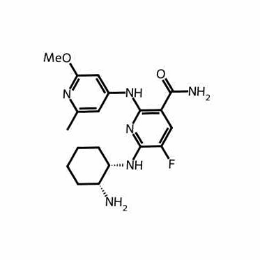 COc1cc(Nc2nc(N[C@H]3CCCC[C@H]3N)c(F)cc2C(N)=O)cc(C)n1